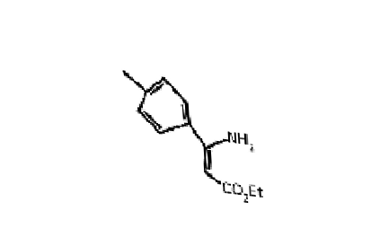 CCOC(=O)C=C(N)c1ccc(C)cc1